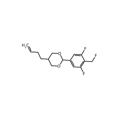 C=CCCC1COC(c2cc(F)c(CF)c(F)c2)OC1